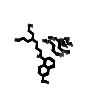 COc1ccc2c(NCCCN(CCO)CCO)ccnc2c1.O=C(O)C=CC(=O)O.O=C(O)C=CC(=O)O.O=[N+]([O-])O.O=[N+]([O-])O